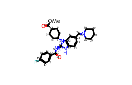 COC(=O)[C@H]1CC[C@@H](n2/c(=N/C(=O)c3ccc(F)cc3)[nH]c3ccc(CN4CCCCC4)cc32)CC1